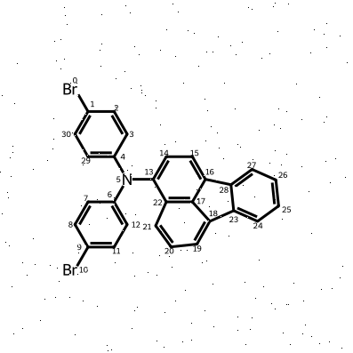 Brc1ccc(N(c2ccc(Br)cc2)c2ccc3c4c(cccc24)-c2ccccc2-3)cc1